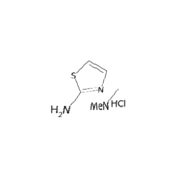 CNC.Cl.Nc1nccs1